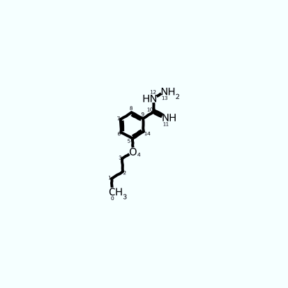 CCCCOc1cccc(C(=N)NN)c1